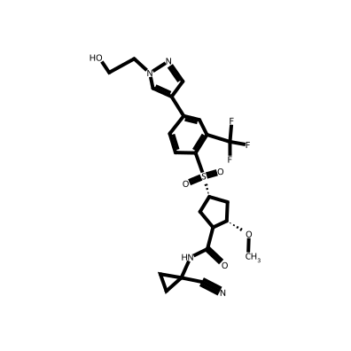 CO[C@H]1C[C@@H](S(=O)(=O)c2ccc(-c3cnn(CCO)c3)cc2C(F)(F)F)CC1C(=O)NC1(C#N)CC1